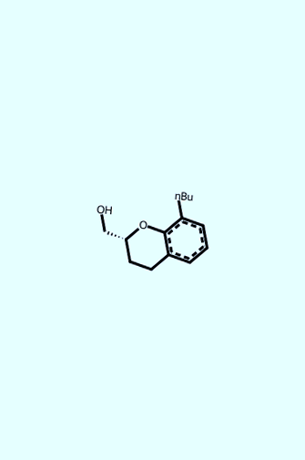 CCCCc1cccc2c1O[C@@H](CO)CC2